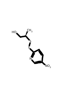 C[C@H](CO)SSc1ccc([N+](=O)[O-])cn1